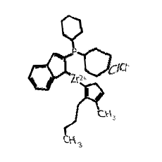 CCCCC1=[C]([Zr+2][CH]2C(P(C3CCCCC3)C3CCCCC3)=Cc3ccccc32)CC=C1C.[Cl-].[Cl-]